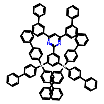 c1ccc(-c2ccc([Si](c3ccc(-c4ccccc4)cc3)(c3ccc(-c4ccccc4)cc3)c3cc(-c4nc(-c5cccc(-c6ccccc6)c5)cc(-c5cccc(-c6ccccc6)c5)n4)cc([Si](c4ccc(-c5ccccc5)cc4)(c4ccc(-c5ccccc5)cc4)c4ccc(-c5ccccc5)cc4)c3)cc2)cc1